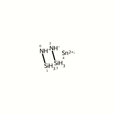 [NH-][SiH3].[NH-][SiH3].[Sn+2]